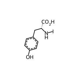 O=C(O)[C@@H](Cc1ccc(O)cc1)NI